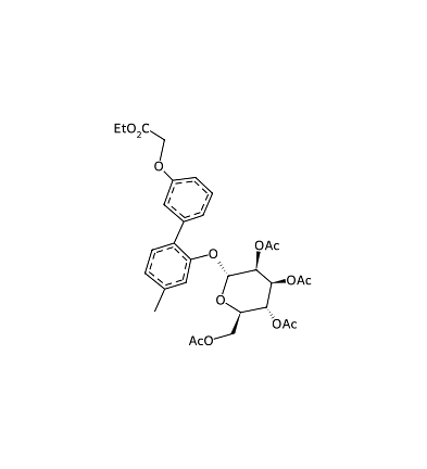 CCOC(=O)COc1cccc(-c2ccc(C)cc2O[C@H]2O[C@H](COC(C)=O)[C@@H](OC(C)=O)[C@H](OC(C)=O)[C@@H]2OC(C)=O)c1